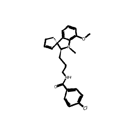 COc1cccc2c1N(C)[C@@H](CCCNC(=O)c1ccc(Cl)cc1)[C@@]21C=CCC1